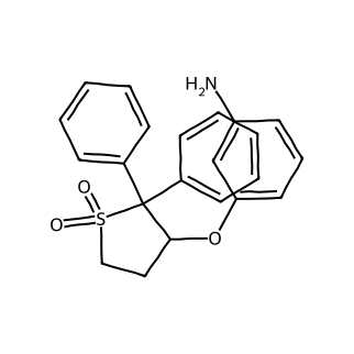 Nc1cccc(OC2CCS(=O)(=O)C2(c2ccccc2)c2ccccc2)c1